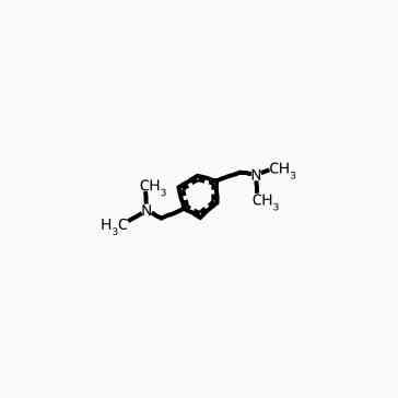 CN(C)Cc1ccc(CN(C)C)cc1